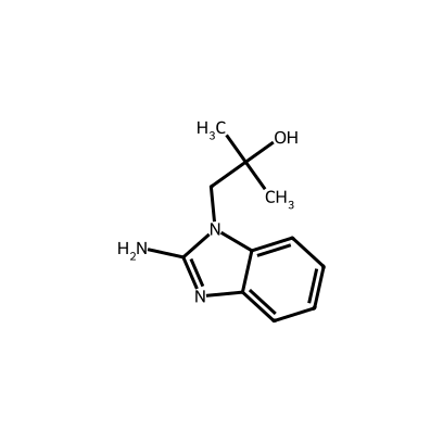 CC(C)(O)Cn1c(N)nc2ccccc21